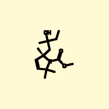 CCC(C)(O)C[C@]1(C)C=CC(C)(C)N1C(=O)OC